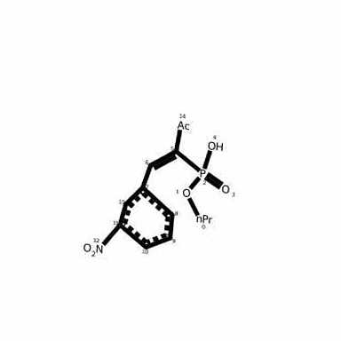 CCCOP(=O)(O)C(=Cc1cccc([N+](=O)[O-])c1)C(C)=O